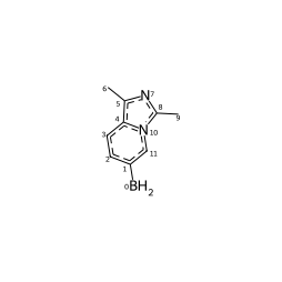 Bc1ccc2c(C)nc(C)n2c1